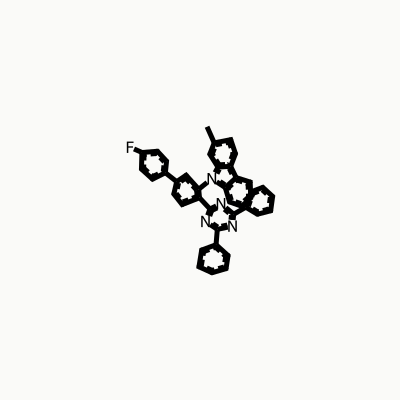 Cc1ccc2c3ccccc3n(-c3cc(-c4ccc(F)cc4)ccc3-c3nc(-c4ccccc4)nc(-c4ccccc4)n3)c2c1